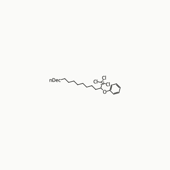 CCCCCCCCCCCCCCCCCCC(Oc1ccccc1)[Si](Cl)(Cl)Cl